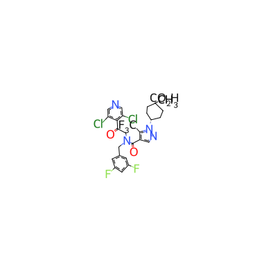 C[C@]1(C(=O)O)CC[C@H](n2ncc(C(=O)N(CC(=O)c3c(Cl)cncc3Cl)Cc3cc(F)cc(F)c3)c2C(F)(F)F)CC1